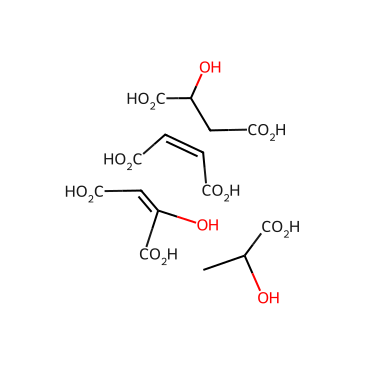 CC(O)C(=O)O.O=C(O)/C=C(/O)C(=O)O.O=C(O)/C=C\C(=O)O.O=C(O)CC(O)C(=O)O